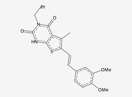 COc1ccc(/C=C/c2sc3[nH]c(=O)n(CC(C)C)c(=O)c3c2C)cc1OC